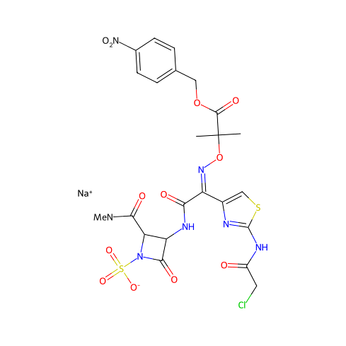 CNC(=O)C1C(NC(=O)C(=NOC(C)(C)C(=O)OCc2ccc([N+](=O)[O-])cc2)c2csc(NC(=O)CCl)n2)C(=O)N1S(=O)(=O)[O-].[Na+]